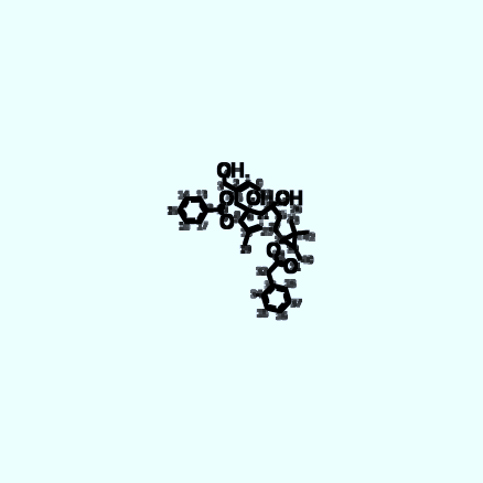 C/C=C(/CO)C[C@]1(O)[C@@H](OC(=O)c2ccccc2)C(C)=C[C@H]1[C@@](C)(O)[C@H](C)C[C@]1(OC(=O)Cc2ccccc2)[C@H](C)C1(C)C